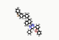 C1=CCCC(c2cc(-c3cccc4c3oc3ccccc34)nc(-c3ccc(-c4cccc(-c5ccc6sc7ccccc7c6c5)c4)c4ccccc34)n2)=C1